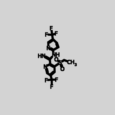 CCS(=O)(=O)c1cc(C(F)(F)F)cnc1C(=N)Nc1ccc(C(F)(F)F)cn1